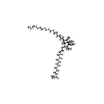 CCCCCCCCCCCCCC=CC=CC(=O)C(O)(C(=O)C=CC=CCCCCCCCCCCCCC)[C@@H](O)CO